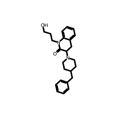 O=C1C(N2CCC(Cc3ccccc3)CC2)Cc2ccccc2N1CCCO